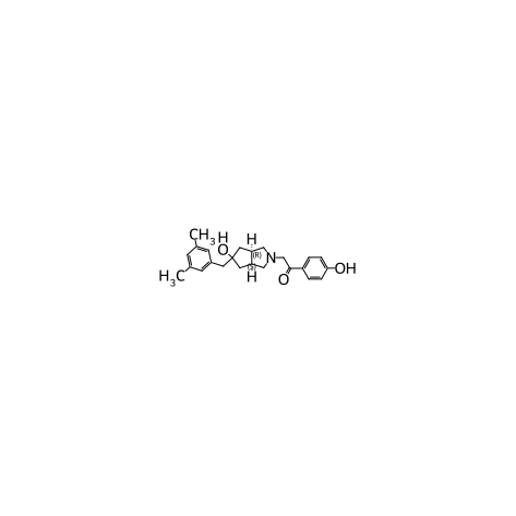 Cc1cc(C)cc(CC2(O)C[C@H]3CN(CC(=O)c4ccc(O)cc4)C[C@H]3C2)c1